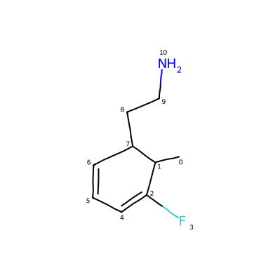 CC1C(F)=CC=CC1CCN